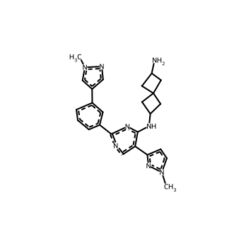 Cn1cc(-c2cccc(-c3ncc(-c4ccn(C)n4)c(NC4CC5(CC(N)C5)C4)n3)c2)cn1